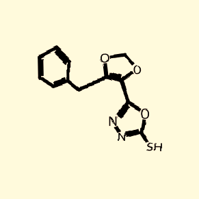 Sc1nnc(C2=C(Cc3ccccc3)OCO2)o1